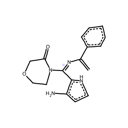 C=C(/N=C(\c1[nH]ccc1N)N1CCOCC1=O)c1ccccc1